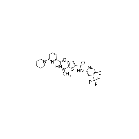 C[C@@H](NC(=O)c1cccc(N2CCCCC2)n1)c1ncc(C(=O)Nc2cc(C(F)(F)F)c(Cl)cn2)s1